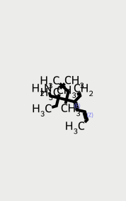 C=C/C(=C\C=C/C)C(C)(CC(C)(C)C)C(C)(CC)CN